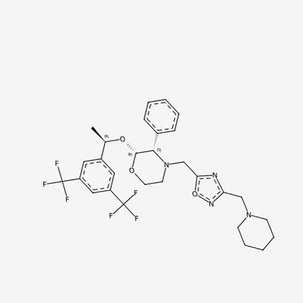 C[C@@H](O[C@H]1OCCN(Cc2nc(CN3CCCCC3)no2)[C@H]1c1ccccc1)c1cc(C(F)(F)F)cc(C(F)(F)F)c1